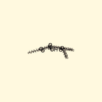 CCCCCCCCCCCOC(=O)CCCCCN1CC(O)C(CCCCCCCC(=O)OC(CCCCCCCC)CCCCCCCC)C1=O